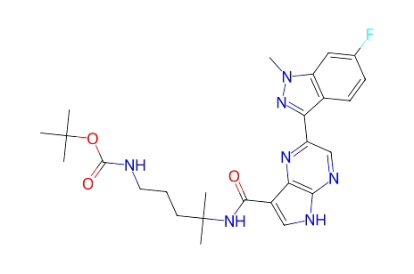 Cn1nc(-c2cnc3[nH]cc(C(=O)NC(C)(C)CCCNC(=O)OC(C)(C)C)c3n2)c2ccc(F)cc21